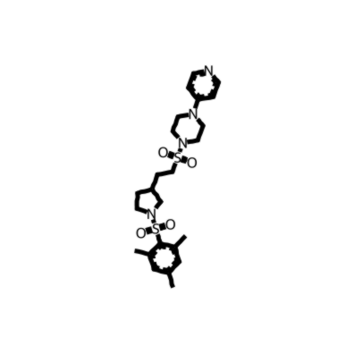 Cc1cc(C)c(S(=O)(=O)N2CCC(CCS(=O)(=O)N3CCN(c4ccncc4)CC3)C2)c(C)c1